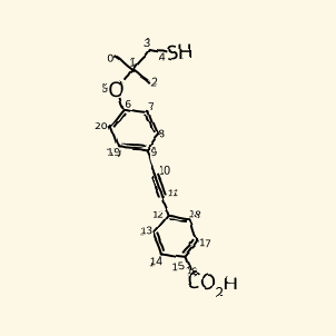 CC(C)(CS)Oc1ccc(C#Cc2ccc(C(=O)O)cc2)cc1